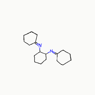 C1CCC(=NC2CCCCC2N=C2CCCCC2)CC1